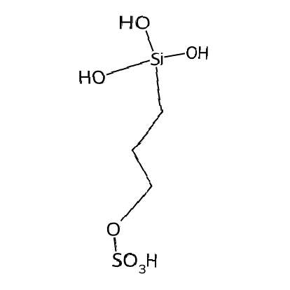 O=S(=O)(O)OCCC[Si](O)(O)O